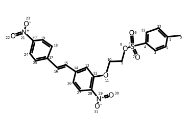 Cc1ccc(S(=O)(=O)OCCOc2cc(/C=C/c3ccc([N+](=O)[O-])cc3)ccc2[N+](=O)[O-])cc1